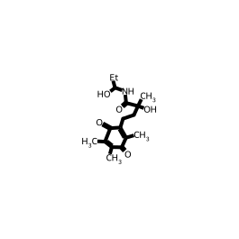 CCC(O)NC(=O)C(C)(O)CCC1=C(C)C(=O)C(C)=C(C)C1=O